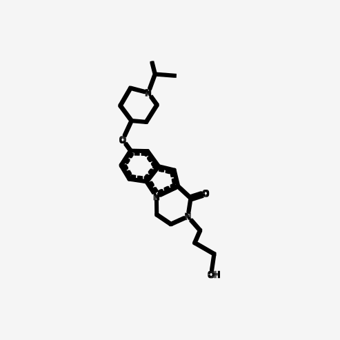 CC(C)N1CCC(Oc2ccc3c(c2)cc2n3CCN(CCCO)C2=O)CC1